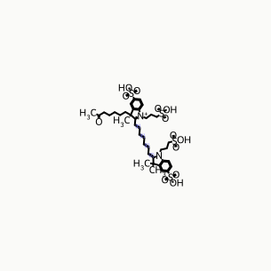 CC(=O)CCCCCC1(C)C(/C=C/C=C/C=C/C=C2\N(CCCS(=O)(=O)O)c3ccc(S(=O)(=O)O)cc3C2(C)C)=[N+](CCCS(=O)(=O)O)c2ccc(S(=O)(=O)O)cc21